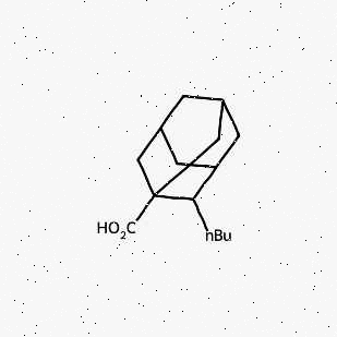 CCCCC1C2CC3CC(C2)CC1(C(=O)O)C3